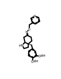 COc1ccc(C[C@@]23CCNC2CC(=NOCc2cccnc2)CC3)cc1OC